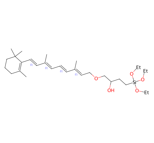 CCO[Si](CCC(O)COC/C=C(C)/C=C/C=C(C)/C=C/C1=C(C)CCCC1(C)C)(OCC)OCC